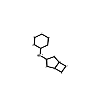 C1CCC(NC2CC3CCC3C2)CC1